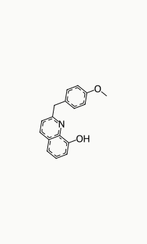 COc1ccc(Cc2ccc3cccc(O)c3n2)cc1